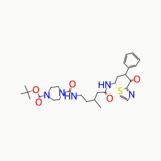 CC(CCNC(=O)N1CCN(C(=O)OC(C)(C)C)CC1)CC(=O)NCCC(C(=O)c1nccs1)c1ccccc1